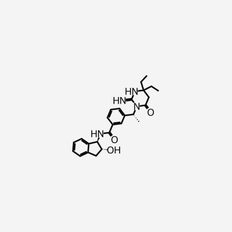 CCC1(CC)CC(=O)N([C@H](C)c2cccc(C(=O)N[C@@H]3c4ccccc4C[C@H]3O)c2)C(=N)N1